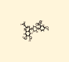 COc1ccc(N2CCN(c3nc(C4CC4)nc4cc(OC)c(OC)cc34)CC2)c([N+](=O)[O-])c1